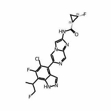 CC(CF)c1c(F)c(Cl)c(-c2cn3cc(NC(=O)[C@@H]4C[C@@H]4F)nc3cn2)c2cn[nH]c12